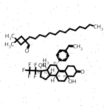 C=Cc1ccc([C@H]2C[C@@]3(C)[C@@H](CC[C@@]3(O)C(F)(F)C(F)(F)F)[C@@H]3CC[C@@]4(O)CC(=O)CCC4=C32)cc1.CCCCCCCCCCCCCCC1(C=O)CC(C)(C)C1